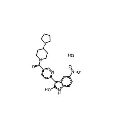 Cl.O=C(c1ccc(-c2c(O)[nH]c3ccc([N+](=O)[O-])cc23)nc1)N1CCC(N2CCCC2)CC1